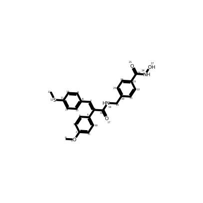 COc1ccc(/C(=C\c2ccc(SC)cc2)C(=O)NCc2ccc(C(=O)NO)cc2)cc1